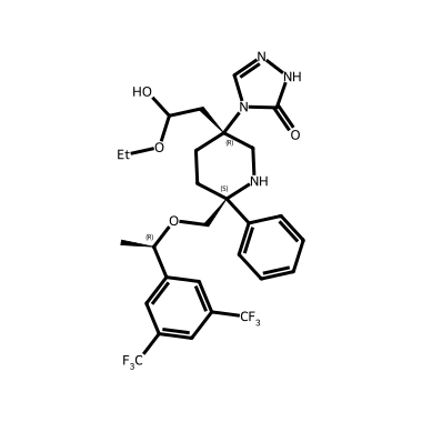 CCOC(O)C[C@]1(n2cn[nH]c2=O)CC[C@@](CO[C@H](C)c2cc(C(F)(F)F)cc(C(F)(F)F)c2)(c2ccccc2)NC1